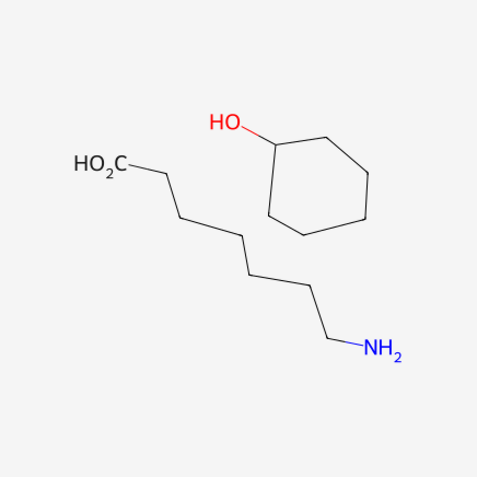 NCCCCCCC(=O)O.OC1CCCCC1